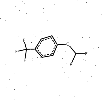 FC(F)Oc1c[c]c(C(F)(F)F)cc1